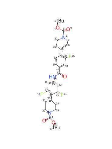 CC(C)(C)OC(=O)N1CC=C(c2ccc(C(=O)Nc3cc(F)c(C4=CCN(C(=O)OC(C)(C)C)CC4)c(F)c3)cc2F)CC1